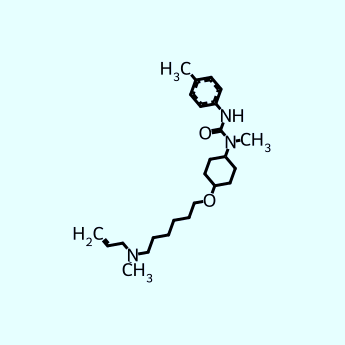 C=CCN(C)CCCCCCOC1CCC(N(C)C(=O)Nc2ccc(C)cc2)CC1